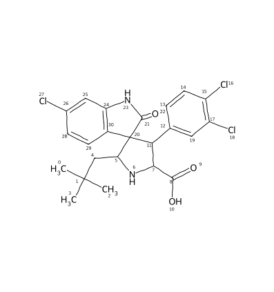 CC(C)(C)CC1NC(C(=O)O)C(c2ccc(Cl)c(Cl)c2)C12C(=O)Nc1cc(Cl)ccc12